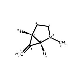 C=C1[C@@H]2[C@H]1CCN2C